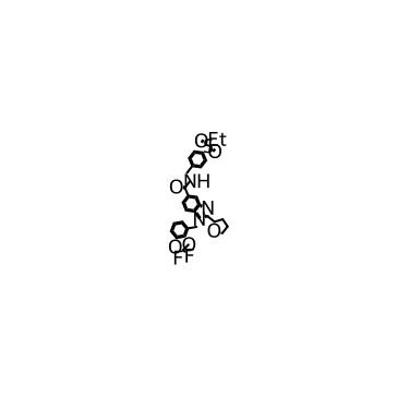 CCS(=O)(=O)c1ccc(CNC(=O)c2ccc3c(c2)nc(C2CCCO2)n3Cc2cccc3c2OC(F)(F)O3)cc1